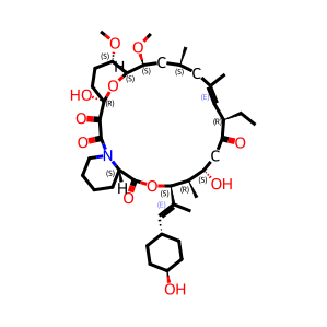 CC[C@@H]1/C=C(\C)C[C@H](C)C[C@H](OC)[C@H]2O[C@](O)(CC[C@@H]2OC)C(=O)C(=O)N2CCCC[C@H]2C(=O)O[C@H](/C(C)=C/[C@H]2CC[C@H](O)CC2)[C@H](C)[C@@H](O)CC1=O